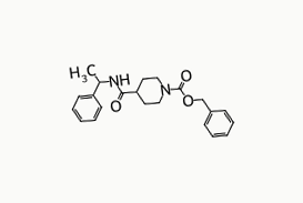 CC(NC(=O)C1CCN(C(=O)OCc2ccccc2)CC1)c1ccccc1